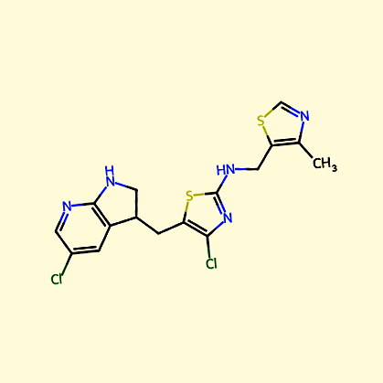 Cc1ncsc1CNc1nc(Cl)c(CC2CNc3ncc(Cl)cc32)s1